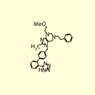 COCCN1CN(CCc2ccccc2)Cc2c1nc(C)n2Cc1ccc(-c2ccccc2-c2nnn[nH]2)cc1